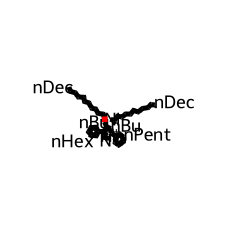 CCCCCCCCCCCCCCCCCCCC[CH2][Ni][CH2]CCCCCCCCCCCCCCCCCCCC.CCCCCCc1cccc(C2=C(CCCC)C(CCCC)=C(c3cccc(CCCCC)c3)[N+]2=[N-])c1